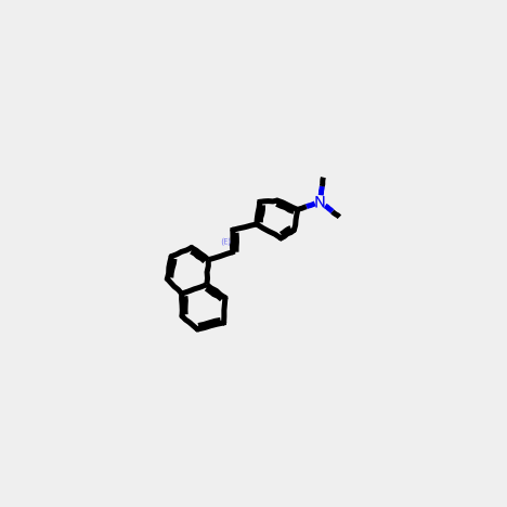 CN(C)c1ccc(/C=C/c2cccc3ccccc23)cc1